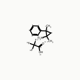 CC1(N)CC1(C)c1ccccc1.O=C(O)C(F)(F)F